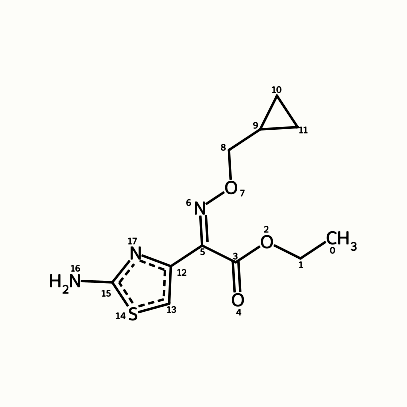 CCOC(=O)C(=NOCC1CC1)c1csc(N)n1